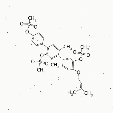 CC(C)=CCOc1ccc(-c2c(C)cc(-c3ccc(OS(C)(=O)=O)cc3)c(OS(C)(=O)=O)c2C)cc1OS(C)(=O)=O